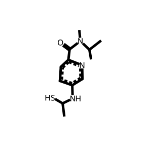 CC(S)Nc1ccc(C(=O)N(C)C(C)C)nc1